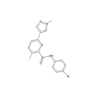 Cc1ccc(-c2cnn(C)c2)nc1C(=O)Nc1ccc(Br)cc1